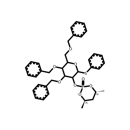 C[C@@H]1C[C@@H](C)OP(=O)(OC2C(Sc3ccccc3)OC(COCc3ccccc3)C(OCc3ccccc3)C2OCc2ccccc2)O1